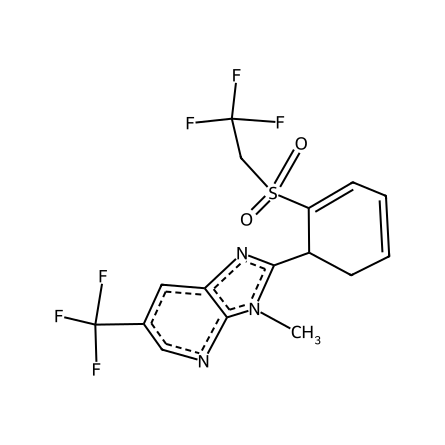 Cn1c(C2CC=CC=C2S(=O)(=O)CC(F)(F)F)nc2cc(C(F)(F)F)cnc21